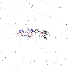 COc1c(-c2ccc(CO[Si](C)(C)C(C)(C)C)cc2)nn(C)c1C(=O)Nc1cc(C(N)=O)ccc1N